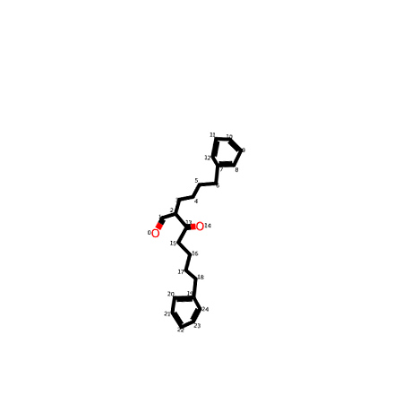 O=[C]C(CCCCc1ccccc1)C(=O)CCCCc1ccccc1